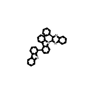 c1ccc(-c2nc3ccccc3nc2-n2c3ccccc3c3c(-c4cccc5c4sc4ccccc45)cccc32)cc1